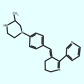 CC1CN(c2ccc(C=C3CCCN=C3c3cccnc3)cc2)CCN1